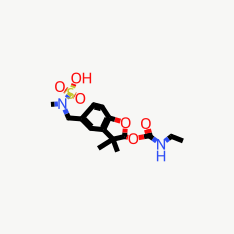 CCNC(=O)OC1Oc2ccc(CN(C)S(=O)(=O)O)cc2C1(C)C